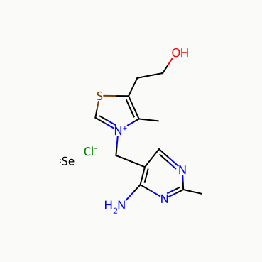 Cc1ncc(C[n+]2csc(CCO)c2C)c(N)n1.[Cl-].[Se]